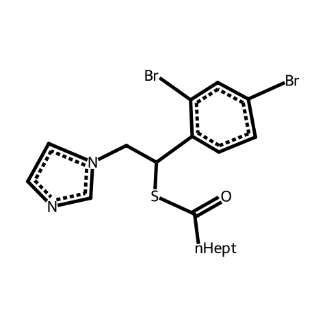 CCCCCCCC(=O)SC(Cn1ccnc1)c1ccc(Br)cc1Br